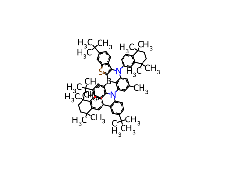 Cc1cc2c3c(c1)N(c1ccc4c(c1)C(C)(C)CCC4(C)C)c1c(sc4cc(C(C)(C)C)ccc14)B3c1cc(C(C)(C)C)ccc1N2c1ccc(C(C)(C)C)cc1-c1ccc2c(c1)C(C)(C)CCC2(C)C